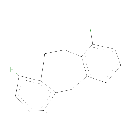 Fc1cccc2c1CCc1c(F)cccc1C2